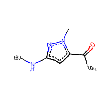 Cn1nc(NC(C)(C)C)cc1C(=O)C(C)(C)C